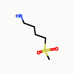 CS(=O)(=O)CCCC[NH]